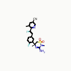 Cc1cc(C#N)cnc1/C(F)=C/c1ccc(F)c([C@]2(C)CS(=O)(=O)N(C)C(N)=N2)c1